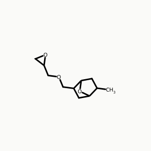 CC1CC2OC1CC2COCC1CO1